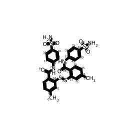 Cc1ccc(C(=O)Nc2ccc(S(N)(=O)=O)cc2)c(SSc2cc(C)ccc2C(=O)Nc2ccc(S(N)(=O)=O)cc2)c1